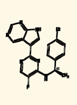 CCc1ccc([C@@H](C)Nc2nc(-c3c[nH]c4ncncc34)ncc2F)cc1